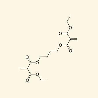 C=C(C(=O)OCC)C(=O)OCCCCOC(=O)C(=C)C(=O)OCC